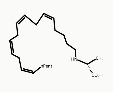 CCCCC/C=C\C/C=C\C/C=C\C/C=C\CCCCN[C@H](C)C(=O)O